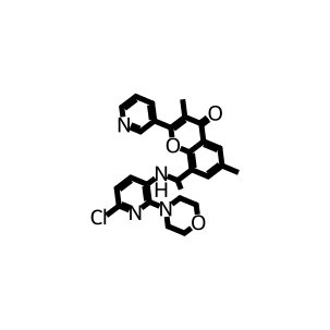 Cc1cc(C(C)Nc2ccc(Cl)nc2N2CCOCC2)c2oc(-c3cccnc3)c(C)c(=O)c2c1